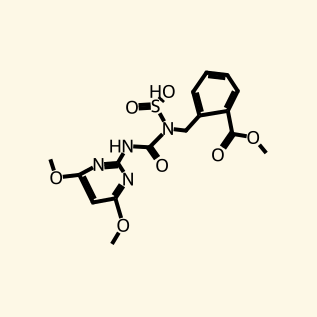 COC(=O)c1ccccc1CN(C(=O)Nc1nc(OC)cc(OC)n1)[SH](=O)=O